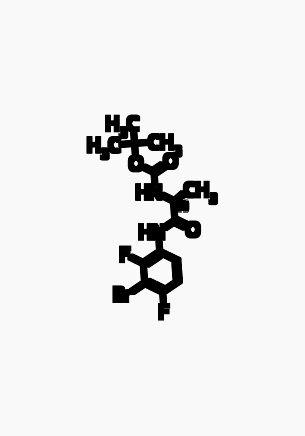 C[C@H](NC(=O)OC(C)(C)C)C(=O)Nc1ccc(F)c(Br)c1F